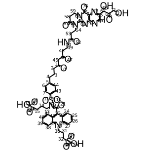 O=C(CCCc1ccc(S(=O)(=O)N(CCCS(=O)(=O)O)C(=O)c2c3ccccc3[n+](CCCS(=O)(=O)O)c3ccccc23)cc1)CC(=O)CCNC(=O)CCN1C(=O)CCn2c1nc1ncc([C@H](O)[C@H](O)CO)nc1c2=O